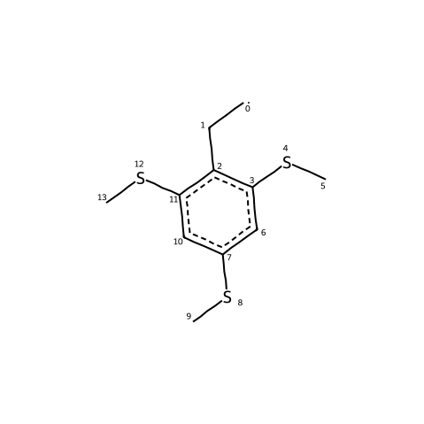 [CH2]Cc1c(SC)cc(SC)cc1SC